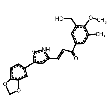 COc1c(C)cc(C(=O)/C=C/c2cc(-c3ccc4c(c3)OCO4)n[nH]2)cc1CO